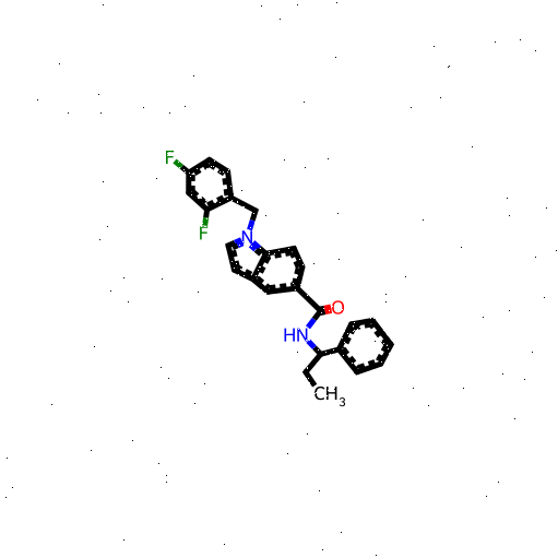 CCC(NC(=O)c1ccc2c(ccn2Cc2ccc(F)cc2F)c1)c1ccccc1